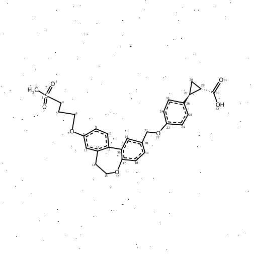 CS(=O)(=O)CCCOc1ccc2c(c1)CCOc1ccc(COc3ccc([C@H]4C[C@@H]4C(=O)O)cc3)cc1-2